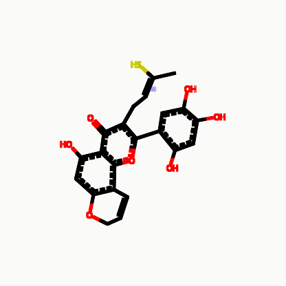 C/C(S)=C/Cc1c(-c2cc(O)c(O)cc2O)oc2c3c(cc(O)c2c1=O)OCC=C3